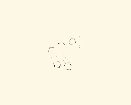 CC(=O)c1cc2cc(C(C)(C)S[C@H]3C=C[C@@H](O)[C@@H](CO[Si](c4ccccc4)(c4ccccc4)C(C)(C)C)O3)oc2cc1O